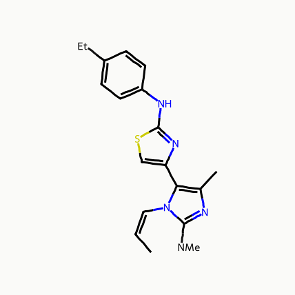 C/C=C\n1c(NC)nc(C)c1-c1csc(Nc2ccc(CC)cc2)n1